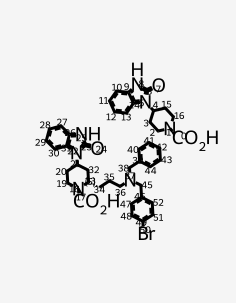 O=C(O)N1CCC(n2c(=O)[nH]c3ccccc32)CC1.O=C(O)N1CCC(n2c(=O)[nH]c3ccccc32)C[C@@H]1CCCN(Cc1ccccc1)Cc1ccc(Br)cc1